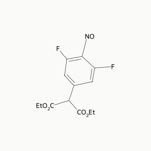 CCOC(=O)C(C(=O)OCC)c1cc(F)c(N=O)c(F)c1